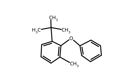 Cc1cccc(C(C)(C)C)c1Oc1ccccc1